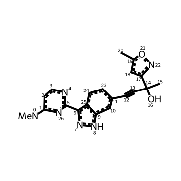 CNc1ccnc(-c2n[nH]c3cc(C#CC(C)(O)c4cc(C)on4)ccc23)n1